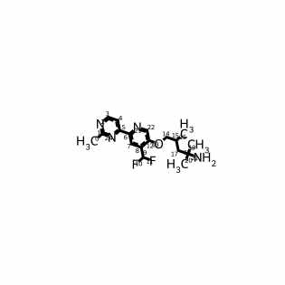 Cc1nccc(-c2cc(C(F)F)c(OCC(C)CC(C)(C)N)cn2)n1